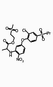 CC(Nc1cc(Oc2ccc(S(=O)(=O)C(C)C)cc2Cl)ccc1[N+](=O)[O-])C(=O)OCCS(C)(=O)=O